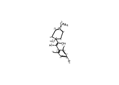 CON1CCC(O)(/C(O)=C(\C(C)=O)c2c(C)cc(Br)cc2C)CC1